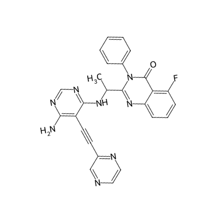 CC(Nc1ncnc(N)c1C#Cc1cnccn1)c1nc2cccc(F)c2c(=O)n1-c1ccccc1